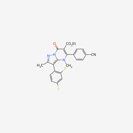 CCOC(=O)c1c(-c2ccc(C#N)cc2)n(C)c2c(-c3ccc(F)cc3F)c(C)nn2c1=O